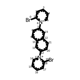 Brc1cccc[n+]1-c1ccc2cc(-[n+]3ccccc3Br)ccc2c1